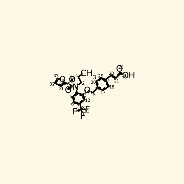 CCCN(c1ccc(C(F)(F)F)cc1OCc1ccc(C=CC(=O)O)cc1)S(=O)(=O)c1ccco1